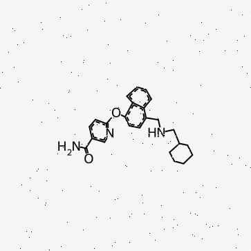 NC(=O)c1ccc(Oc2ccc(CNCC3CCCCC3)c3ccccc23)nc1